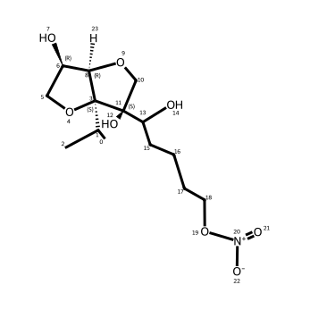 CC(C)[C@]12OC[C@@H](O)[C@H]1OC[C@]2(O)C(O)CCCCO[N+](=O)[O-]